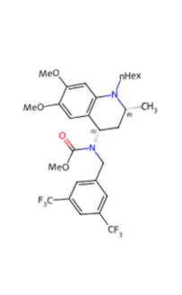 CCCCCCN1c2cc(OC)c(OC)cc2[C@@H](N(Cc2cc(C(F)(F)F)cc(C(F)(F)F)c2)C(=O)OC)C[C@H]1C